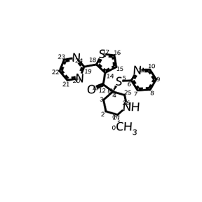 C[C@@H]1CC[C@](Sc2ccccn2)(C(=O)c2ccsc2-c2ncccn2)CN1